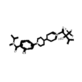 CC(C)N(C)C(=O)c1ccc(N2CCC(C3CCN(C(=O)C(O)(C(C)C)C(F)(F)F)CC3)CC2)cc1Cl